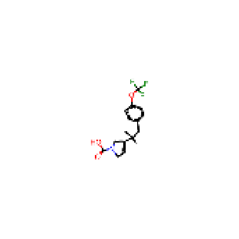 CC(C)(Cc1ccc(OC(F)(F)F)cc1)C1=CCN(C(=O)O)C1